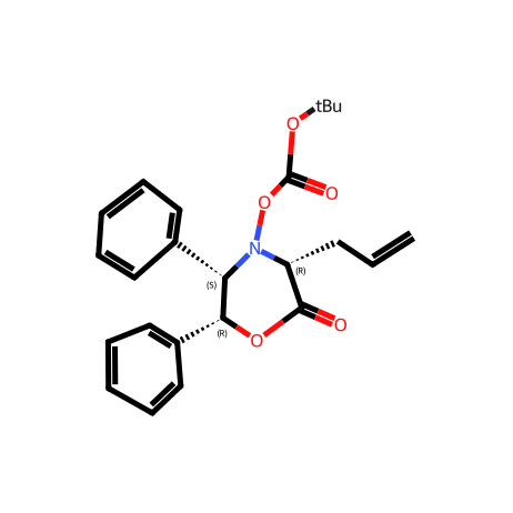 C=CC[C@@H]1C(=O)O[C@H](c2ccccc2)[C@H](c2ccccc2)N1OC(=O)OC(C)(C)C